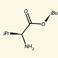 CC[C@H](C)OC(=O)[C@@H](N)C(C)C